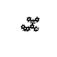 CC1(C)C2=C(CCC=C2)c2cc(-c3cc(-c4cccnc4)cc(-c4nc(-c5ccccc5)cc(-c5ccccc5)n4)c3)ccc21